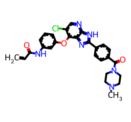 C=CC(=O)Nc1cccc(Oc2c(Cl)cnc3[nH]c(-c4ccc(C(=O)N5CCN(C)CC5)cc4)nc23)c1